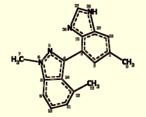 Cc1cc(-c2nn(C)c3cccc(C)c23)c2nc[nH]c2c1